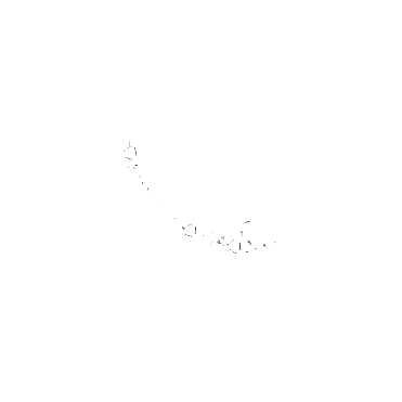 Cc1ccc(S(=O)(=O)OCCOCCOCCOCCOc2ccc(C3CCN(S(=O)(=O)c4ccc5c(c4)N(C(=O)OC(C)(C)C)CN(CC(=O)OC(C)(C)C)C5=O)CC3)cc2)cc1